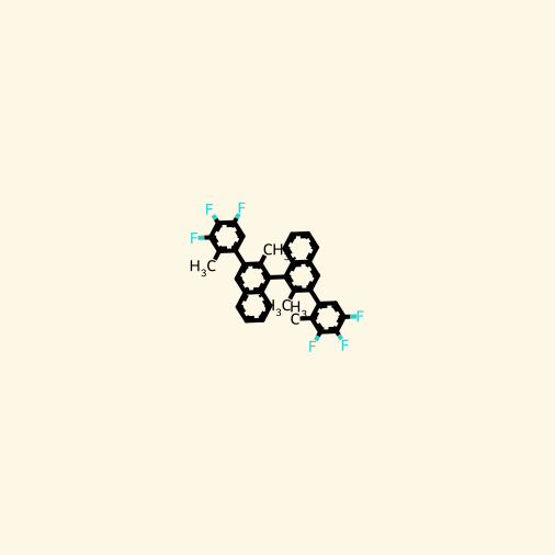 Cc1c(-c2cc3ccccc3c(-c3c(C)c(-c4cc(F)c(F)c(F)c4C)cc4ccccc34)c2C)cc(F)c(F)c1F